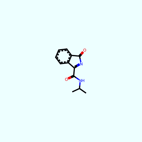 CC(C)NC(=O)C1=NC(=O)c2ccccc21